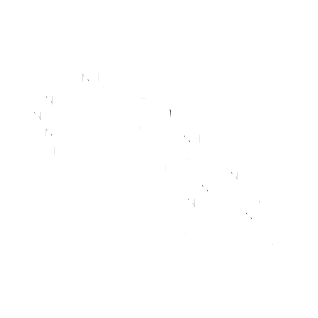 CN(C(=O)O)c1cc(Cl)nn2c(C(=O)N[C@H](CO)COCc3cc(N)c4nnn(C)c4c3)cnc12